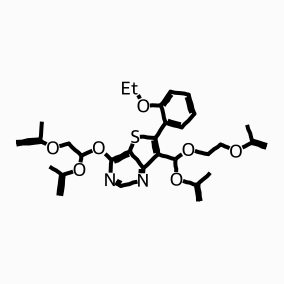 C=C(C)OCCOC(OC(=C)C)c1c(-c2ccccc2OCC)sc2c(OC(COC(=C)C)OC(=C)C)ncnc12